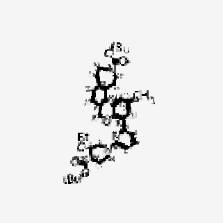 CCO[C@@H]1CN(c2cccc(-c3cc(C)ccc3OCc3ccc4c(c3C)CCN(C(=O)OC(C)(C)C)CC4)n2)CC[C@@H]1C(=O)OC(C)(C)C